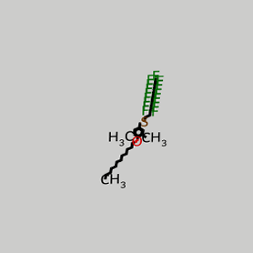 CCCCCCCCCCCCOc1c(C)cc(CSCCC(F)(F)C(F)(F)C(F)(F)C(F)(F)C(F)(F)C(F)(F)C(F)(F)C(F)(F)F)cc1C